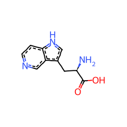 N[C@H](Cc1c[nH]c2ccncc12)C(=O)O